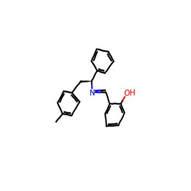 Cc1ccc(C[C@H](/N=C/c2ccccc2O)c2ccccc2)cc1